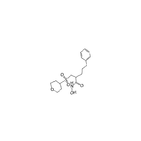 O=C(NO)C(CCCc1ccccc1)CS(=O)(=O)C1CCOCC1